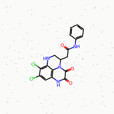 O=C(CC1CNc2c(Cl)c(Cl)cc3[nH]c(=O)c(=O)n1c23)Nc1ccccc1